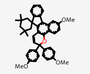 COc1ccc(C2(c3ccc(OC)cc3)C=Cc3c4c(c5cc(OC)ccc5c3O2)-c2ccccc2C42CC(C)(C)CC(C)(C)C2)cc1